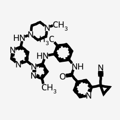 Cc1cc(Nc2cc(NC(=O)c3ccnc(C4(C#N)CC4)c3)ccc2C)n(-c2cc(NN3CCN(C)CC3)ncn2)n1